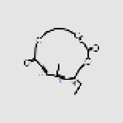 CC[C@H]1/C=C(C)/C=C/C(=O)CCCCCCCC(=O)OC1